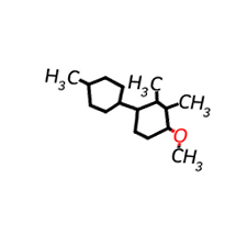 COC1CCC(C2CCC(C)CC2)C(C)C1C